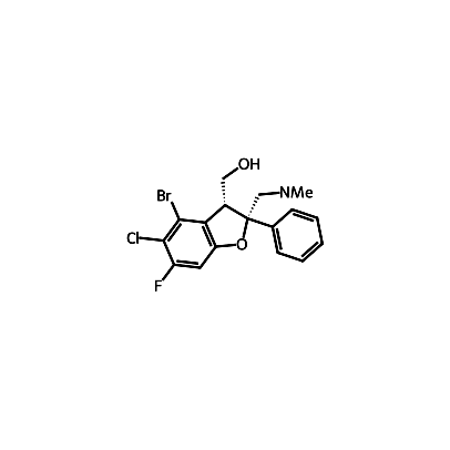 CNC[C@]1(c2ccccc2)Oc2cc(F)c(Cl)c(Br)c2[C@@H]1CO